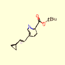 CC(C)(C)OC(=O)c1ccc(/C=C/C2CC2)cn1